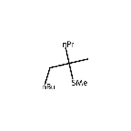 CCCCCC(C)(CCC)SC